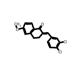 COc1ccc2c(c1)CCC(=Cc1ccc(Cl)c(Cl)c1)C2=O